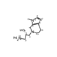 Cn1cnc2c1CN(C[C@@H](O)CN)CC2